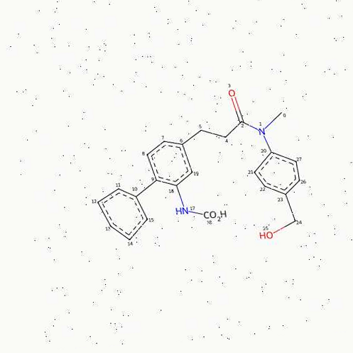 CN(C(=O)CCc1ccc(-c2ccccc2)c(NC(=O)O)c1)c1ccc(CO)cc1